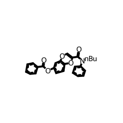 CCCCN(C(=O)C1=COc2cc(OC(=O)c3ccccc3)ccc2O1)c1ccccc1